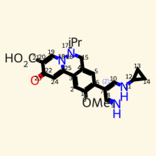 COc1cc2c(cc1/C(C=N)=C/NC1CC1)CN(C(C)C)n1cc(C(=O)O)c(=O)cc1-2